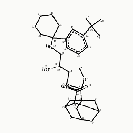 COC(=O)C12CC3CC(C1)C(C(=O)NC[C@H](O)CNC1(c4cccc(C(C)(C)C)c4)CCCCC1)C(C3)C2